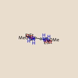 CCC(CC)[C@H](NC(=O)OC)C(=O)N1CCC[C@H]1c1ncc(-c2ccc(C#Cc3ccc4nc([C@@H]5CCCN5C(=O)[C@@H](NC(=O)OC)C(CC)CC)[nH]c4c3)cc2)[nH]1